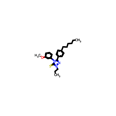 CCCCCCc1ccc(-c2nn(CCC)c(=S)n2-c2cccc(OC)c2)cc1